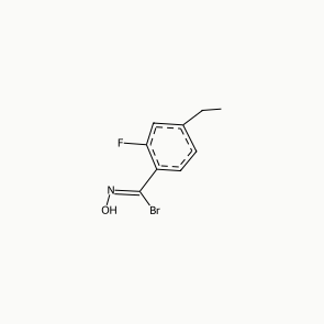 CCc1ccc(C(Br)=NO)c(F)c1